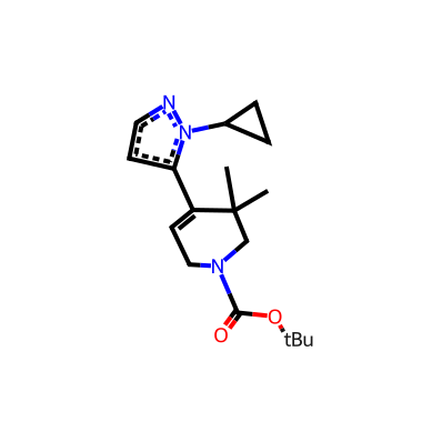 CC(C)(C)OC(=O)N1CC=C(c2ccnn2C2CC2)C(C)(C)C1